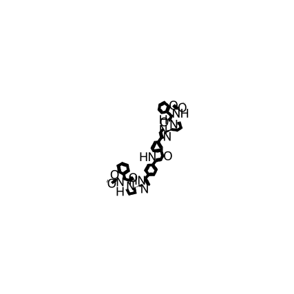 COC(=O)N[C@@H](C(=O)N1CCC[C@H]1c1nc(-c2ccc3[nH]c(-c4ccc(-c5cnc([C@@H]6CCCN6C(=O)[C@H](NC(=O)OC)c6ccccc6)[nH]5)cc4)cc(=O)c3c2)c[nH]1)c1ccccc1